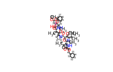 CC[C@H](C)[C@@H]([C@@H](CC(=O)N1CCC[C@H]1[C@H](OC)[C@@H](C)C(=O)N[C@@H](Cc1ccccc1)P(=O)(O)CC(=O)OC)OC)N(C)C(=O)[C@@H](NC(=O)OCc1ccccc1)C(C)C